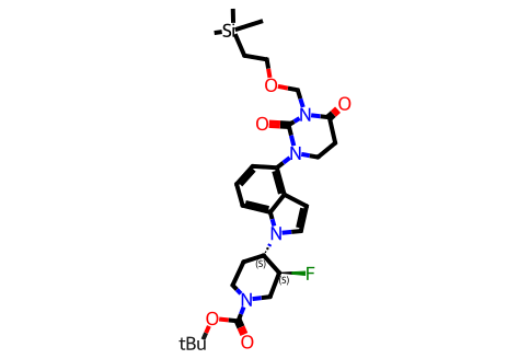 CC(C)(C)OC(=O)N1CC[C@H](n2ccc3c(N4CCC(=O)N(COCC[Si](C)(C)C)C4=O)cccc32)[C@@H](F)C1